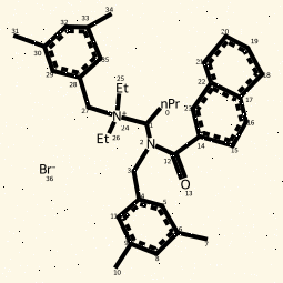 CCCC(N(Cc1cc(C)cc(C)c1)C(=O)c1ccc2ccccc2c1)[N+](CC)(CC)Cc1cc(C)cc(C)c1.[Br-]